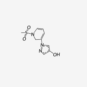 CS(=O)(=O)N1C=CC=C(n2cc(O)cn2)C1